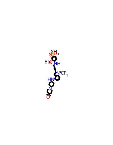 CCOc1cc(S(C)(=O)=O)ccc1NCC#Cc1cc2c(N[C@H]3CC[C@@H](N4CCC5(CC4)COC5)CC3)cccc2n1CC(F)(F)F